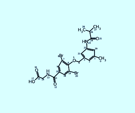 Cc1cc(COc2c(Br)cc(C(=O)NCC(=O)O)cc2Br)cc(NC(=O)C(C)C)c1